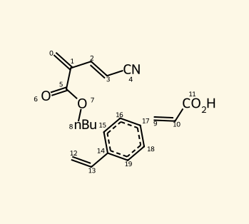 C=C(C=CC#N)C(=O)OCCCC.C=CC(=O)O.C=Cc1ccccc1